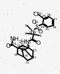 CN(C(C)(C)C(=O)NC12CC3CC(C1)CC(C(N)=O)(C3)C2)S(=O)(=O)c1ccccc1Cl